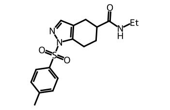 CCNC(=O)C1CCc2c(cnn2S(=O)(=O)c2ccc(C)cc2)C1